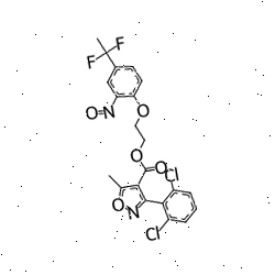 Cc1onc(-c2c(Cl)cccc2Cl)c1C(=O)OCCOc1ccc(C(C)(F)F)cc1N=O